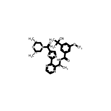 C[C@@H]1CN(C(=O)c2cnc(-c3nccnc3[C@H](C)NC(=O)c3cc(OC(F)(F)F)cc(C(C)(C)C#N)c3)s2)C[C@H](C)O1